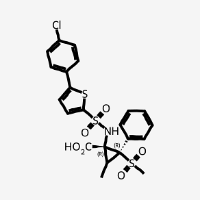 CC1[C@](c2ccccc2)(S(C)(=O)=O)[C@]1(NS(=O)(=O)c1ccc(-c2ccc(Cl)cc2)s1)C(=O)O